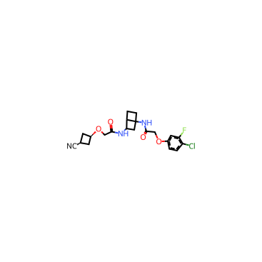 N#C[C@H]1C[C@@H](OCC(=O)NC2CC3(NC(=O)COc4ccc(Cl)c(F)c4)CCC23)C1